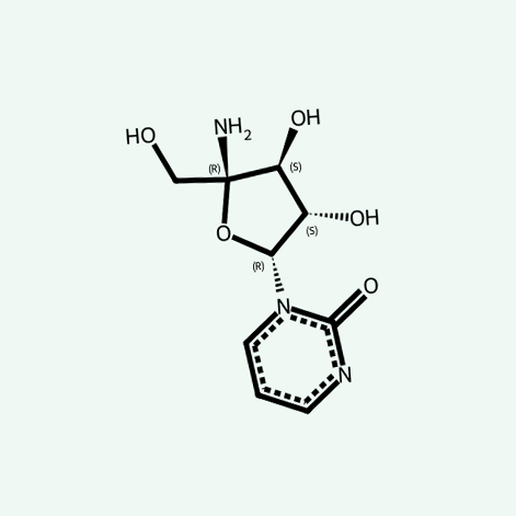 N[C@]1(CO)O[C@@H](n2cccnc2=O)[C@@H](O)[C@@H]1O